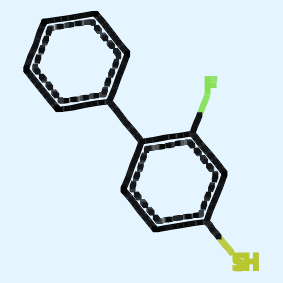 Fc1cc(S)ccc1-c1ccccc1